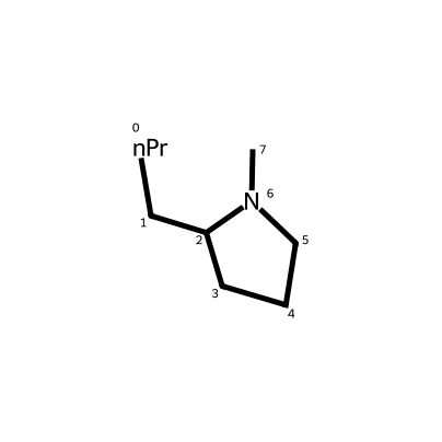 [CH2+][CH-]CCC1CCCN1C